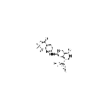 COC[C@@H](N)c1cnc(OC)c2cnc(Nc3ccc4c(n3)[C@@H](C)C(C)(C)OC4=O)cc12